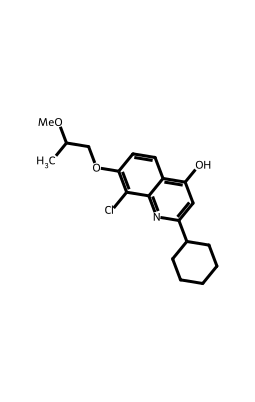 COC(C)COc1ccc2c(O)cc(C3CCCCC3)nc2c1Cl